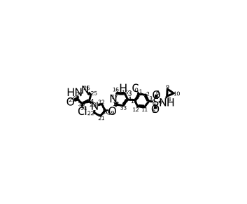 Cc1cc(S(=O)(=O)NC2CC2)ccc1-c1ccnc(O[C@@H]2CCN(c3cn[nH]c(=O)c3Cl)C2)c1